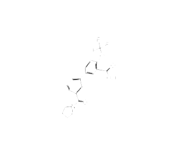 O=C(O)c1cc(-c2cccc(C(=O)N3CCCC3)c2)ccc1OC(F)(F)F